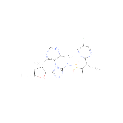 COc1ncnc(OC)c1-n1c(NS(=O)(=O)C(C)C(OC)c2ncc(Cl)cn2)nnc1[C@H]1CCC(C)(C)O1